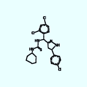 S=C(NC1CCCCC1)NC(C1=NNC(c2ccc(Cl)cc2)C1)c1ccc(Cl)cc1Cl